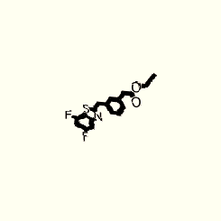 CCOC(=O)Cc1cccc(Cc2nc3cc(F)cc(F)c3s2)c1